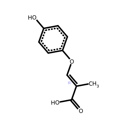 C/C(=C\Oc1ccc(O)cc1)C(=O)O